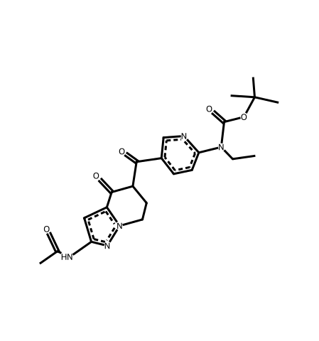 CCN(C(=O)OC(C)(C)C)c1ccc(C(=O)C2CCn3nc(NC(C)=O)cc3C2=O)cn1